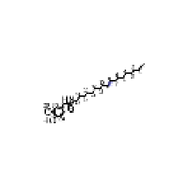 CCCCCCCC/C=C/CCCCCCCCNC(=O)Cc1ccc(O)c(OC)c1